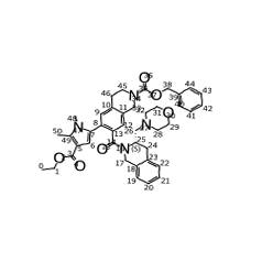 CCOC(=O)c1cc(-c2cc3c(cc2C(=O)N2Cc4ccccc4C[C@H]2CN2CCOCC2)CN(C(=O)OCc2ccccc2)CC3)n(C)c1C